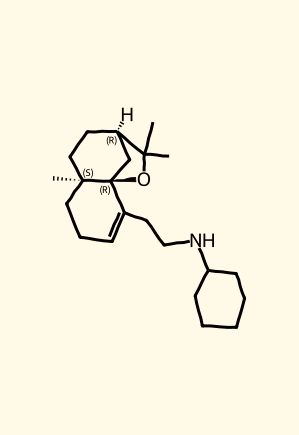 CC1(C)O[C@]23C[C@H]1CC[C@]2(C)CCC=C3CCNC1CCCCC1